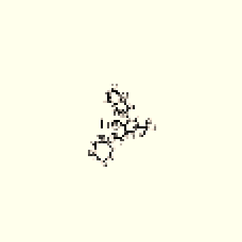 CC(C)(C)C1C=C(CSC2CCCCCCC2)C(O)=C(N2CC3C=CC=CC3C2)C1